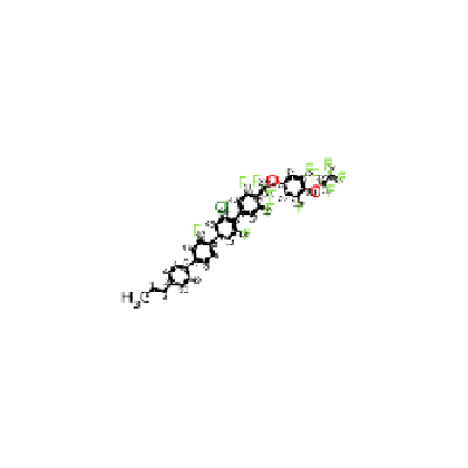 CCCc1ccc(-c2ccc(-c3cc(F)c(-c4cc(F)c(C(F)(F)Oc5cc(F)c(OC(F)(F)C(F)F)c(F)c5)c(F)c4)c(Cl)c3)c(F)c2)cc1